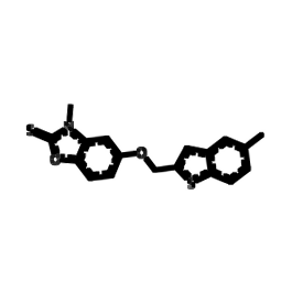 Cc1ccc2sc(COc3ccc4oc(=S)n(C)c4c3)cc2c1